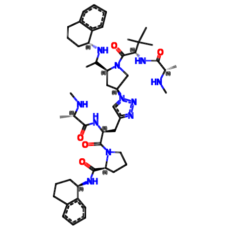 CN[C@@H](C)C(=O)N[C@@H](Cc1cn([C@H]2C[C@@H](C(C)N[C@@H]3CCCc4ccccc43)N(C(=O)[C@@H](NC(=O)[C@H](C)NC)C(C)(C)C)C2)nn1)C(=O)N1CCC[C@H]1C(=O)N[C@@H]1CCCc2ccccc21